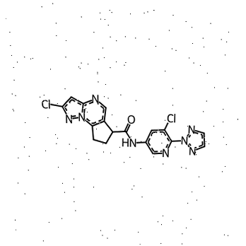 O=C(Nc1cnc(-n2nccn2)c(Cl)c1)C1CCc2c1cnc1cc(Cl)nn21